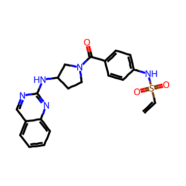 C=CS(=O)(=O)Nc1ccc(C(=O)N2CCC(Nc3ncc4ccccc4n3)C2)cc1